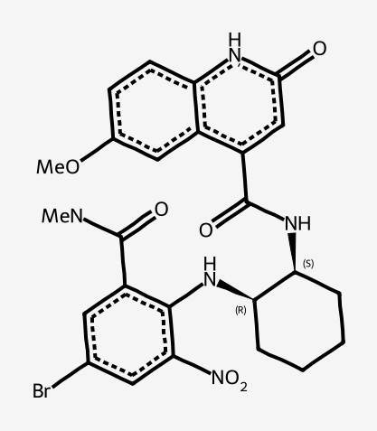 CNC(=O)c1cc(Br)cc([N+](=O)[O-])c1N[C@@H]1CCCC[C@@H]1NC(=O)c1cc(=O)[nH]c2ccc(OC)cc12